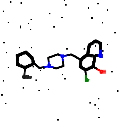 COc1ccccc1CN1CCN(Cc2cc(Br)c(O)c3ncccc23)CC1